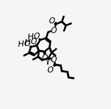 CCCCCC(=O)O[C@]1(C)CC(C)C23C=C(C)C(O)C2(O)C(O)C(COC(=O)C(C)C(C)C)=CC(C3=O)C1(C)C